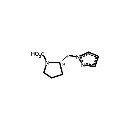 O=C(O)N1CCC[C@H]1Cn1cccn1